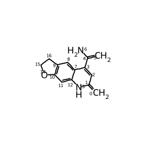 C=C1C=C(C(=C)N)c2cc3c(cc2N1)OCC3